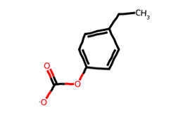 CCc1ccc(OC([O])=O)cc1